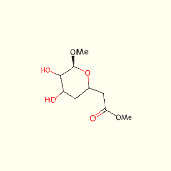 COC(=O)CC1CC(O)C(O)[C@@H](OC)O1